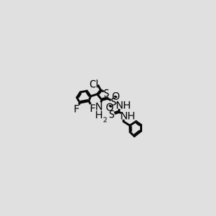 Nc1c(S(=O)(=O)NC(=S)NCc2ccccc2)sc(Cl)c1-c1cccc(F)c1F